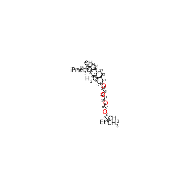 CCC(C)(C)CCOCCOCCOCCO[C@H]1CCC2(C)C(=CCC3C2CCC2(C)C(C(C)CCCC(C)C)CCC32)C1